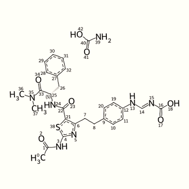 CC(=O)Nc1nc(CCc2ccc(NC=NC(=O)O)cc2)c(C(=O)N[C@@H](Cc2ccccc2)C(=O)N(C)C)s1.NC(=O)O